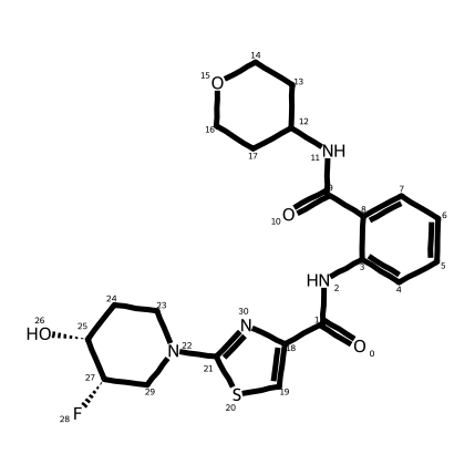 O=C(Nc1ccccc1C(=O)NC1CCOCC1)c1csc(N2CC[C@@H](O)[C@@H](F)C2)n1